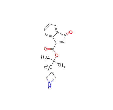 C1CNC1.CC(C)(C)OC(=O)C1=CC(=O)c2ccccc21